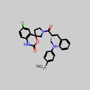 O=C1Nc2ccc(Cl)cc2C2(CCN(C(=O)[C@@H](CNc3ccc(C(=O)O)cc3)Cc3ccccc3)C2)O1